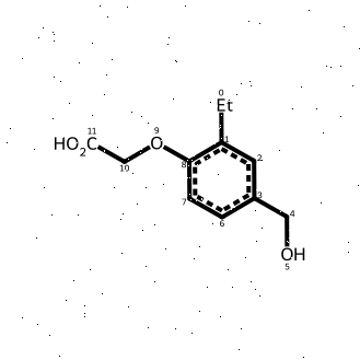 CCc1cc(CO)ccc1OCC(=O)O